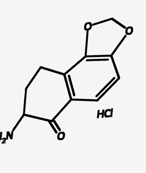 Cl.NC1CCc2c(ccc3c2OCO3)C1=O